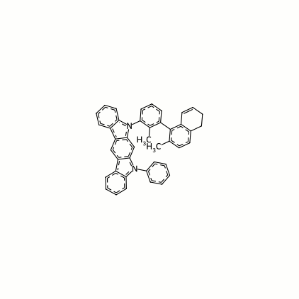 Cc1ccc2c(c1-c1cccc(-n3c4ccccc4c4cc5c6ccccc6n(-c6ccccc6)c5cc43)c1C)C=CCC2